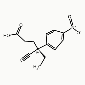 CC[C@@](C#N)(CCC(=O)O)c1ccc([N+](=O)[O-])cc1